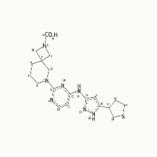 O=C(O)N1CC2(CCCN(c3nccc(Nc4cc(C5CCCC5)[nH]n4)n3)C2)C1